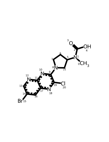 CN(C(=O)O)C1CCN(c2nc3ncc(Br)cc3nc2Cl)C1